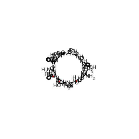 CCCC[C@H]1C(=O)N(C)[C@@H](CCCC)C(=O)N[C@@H](CC(C)C)C(=O)N(C)CC(=O)NCC(=O)N[C@@H](Cc2ccc(O)cc2)C(=O)N(C)[C@@H](C)C(=O)N[C@@H](CC(N)=O)C(=O)N2CCC[C@H]2C(=O)N[C@@H](CN)C(=O)N[C@@H](CC(C)C)C(=O)N2C[C@H](O)C[C@H]2C(=O)N[C@@H](Cc2c[nH]c3ccccc23)C(=O)N[C@@H](CCN)C(=O)N[C@@H](Cc2c[nH]c3ccccc23)C(=O)N1C